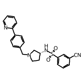 N#Cc1cccc(S(=O)(=O)N[C@@H]2CCN(Cc3ccc(-c4ccccn4)cc3)C2)c1